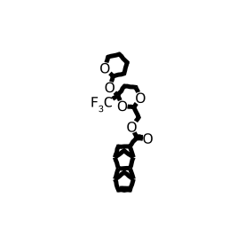 O=C(OCC1OCCC(OC2CCCCO2)(C(F)(F)F)O1)C1CC2CC1C1C3C=CC(C3)C21